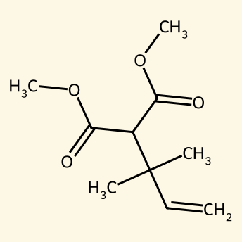 C=CC(C)(C)C(C(=O)OC)C(=O)OC